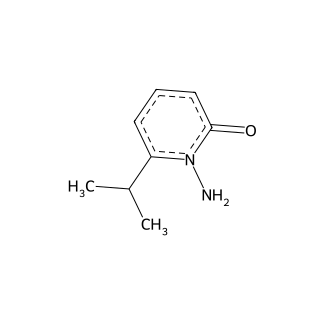 CC(C)c1cccc(=O)n1N